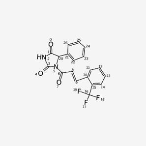 O=C1NC(=O)N(C(=O)/C=C/c2ccccc2C(F)(F)F)C1c1ccccc1